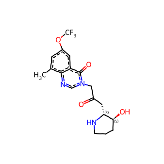 Cc1cc(OC(F)(F)F)cc2c(=O)n(CC(=O)C[C@H]3NCCC[C@@H]3O)cnc12